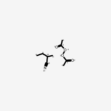 CC(=O)OOC(C)=O.CCC(C)C#N